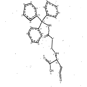 O=C=C[C@H](NCCC(=O)NC(c1ccccc1)(c1ccccc1)c1ccccc1)C(=O)O